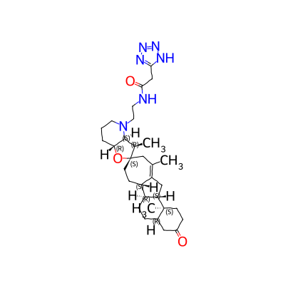 CC1=C2C[C@H]3[C@@H](CC[C@@H]4CC(=O)CC[C@@]43C)[C@@H]2CC[C@@]2(C1)O[C@@H]1CCCN(CCNC(=O)Cc3nnn[nH]3)[C@H]1[C@H]2C